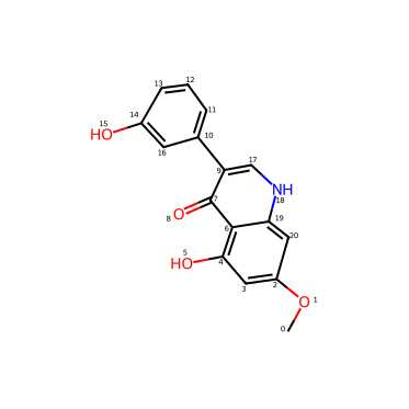 COc1cc(O)c2c(=O)c(-c3cccc(O)c3)c[nH]c2c1